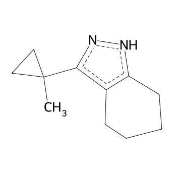 CC1(c2n[nH]c3c2CCCC3)CC1